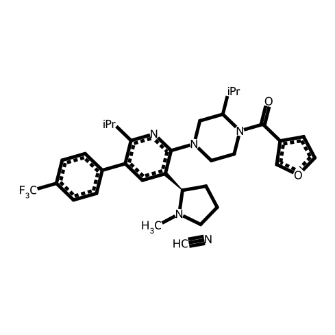 C#N.CC(C)c1nc(N2CCN(C(=O)c3ccoc3)C(C(C)C)C2)c([C@H]2CCCN2C)cc1-c1ccc(C(F)(F)F)cc1